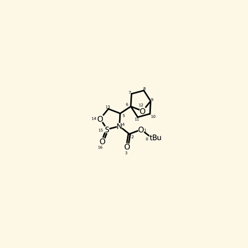 CC(C)(C)OC(=O)N1C(C23CCC(CC2)O3)COS1=O